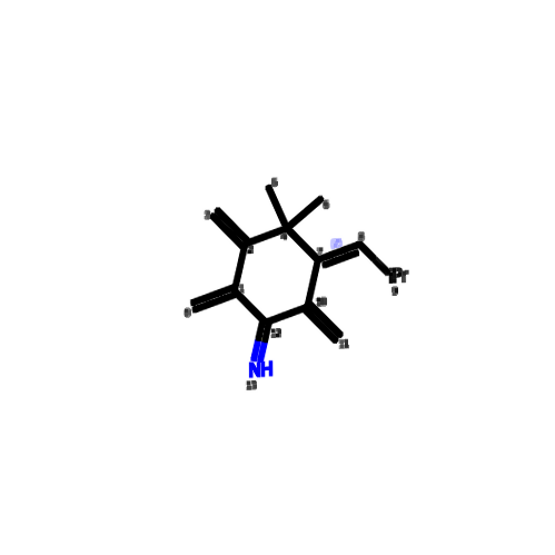 C=C1C(=C)C(C)(C)/C(=C/C(C)C)C(=C)C1=N